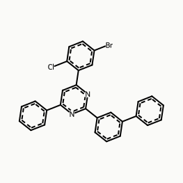 Clc1ccc(Br)cc1-c1cc(-c2ccccc2)nc(-c2cccc(-c3ccccc3)c2)n1